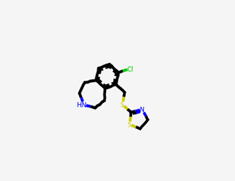 Clc1ccc2c(c1CSC1=NCCS1)CCNCC2